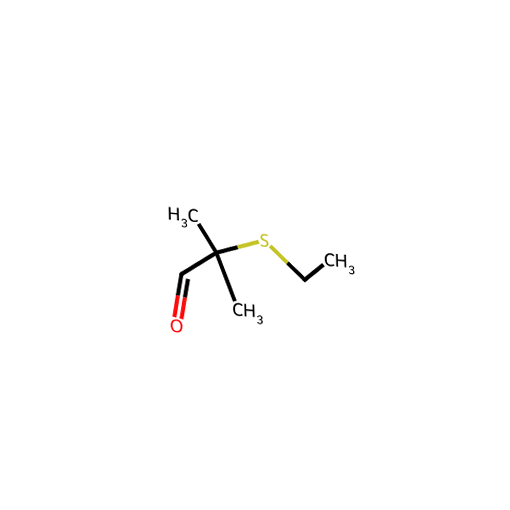 CCSC(C)(C)C=O